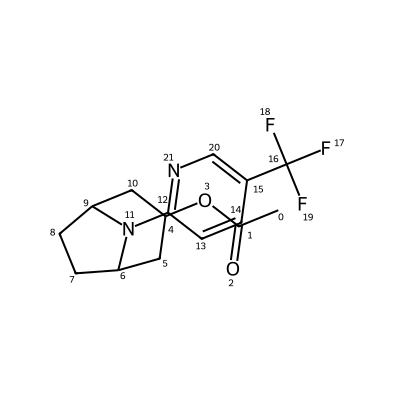 CC(=O)OC1CC2CCC(C1)N2c1ccc(C(F)(F)F)cn1